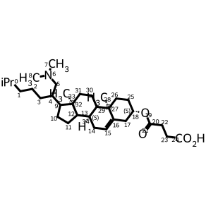 CC(C)CCCC(CN(C)C)C1CCC2[C@@H]3CC=C4C[C@@H](OC(=O)CCC(=O)O)CC[C@]4(C)C3CC[C@]12C